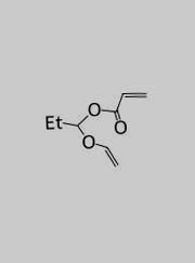 C=COC(CC)OC(=O)C=C